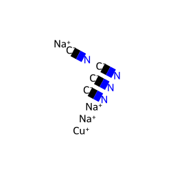 [C-]#N.[C-]#N.[C-]#N.[C-]#N.[Cu+].[Na+].[Na+].[Na+]